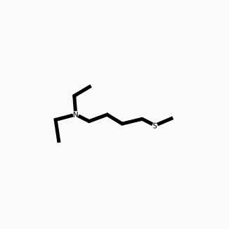 CCN(CC)C[CH]CCSC